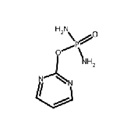 NP(N)(=O)Oc1ncccn1